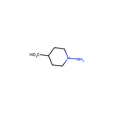 NN1CCC(C(=O)O)CC1